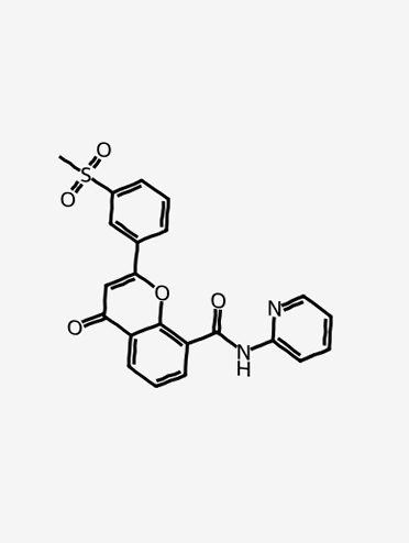 CS(=O)(=O)c1cccc(-c2cc(=O)c3cccc(C(=O)Nc4ccccn4)c3o2)c1